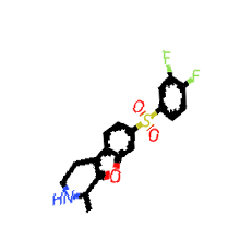 CC1NCCc2c1oc1cc(S(=O)(=O)c3ccc(F)c(F)c3)ccc21